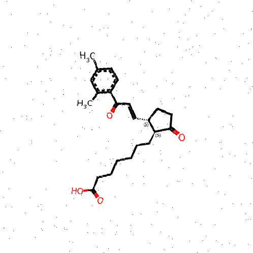 Cc1ccc(C(=O)C=C[C@@H]2CCC(=O)[C@H]2CCCCCCC(=O)O)c(C)c1